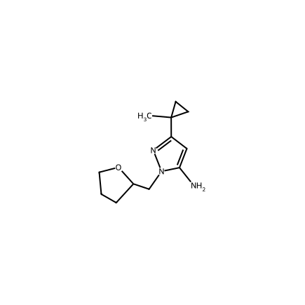 CC1(c2cc(N)n(CC3CCCO3)n2)CC1